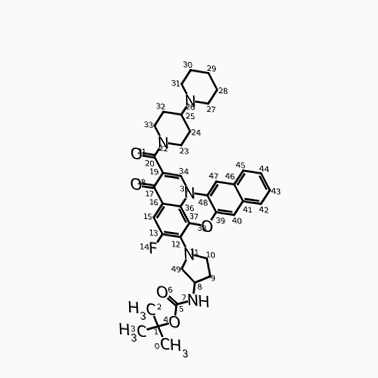 CC(C)(C)OC(=O)NC1CCN(c2c(F)cc3c(=O)c(C(=O)N4CCC(N5CCCCC5)CC4)cn4c3c2Oc2cc3ccccc3cc2-4)C1